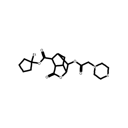 CCC1(OC(=O)C2C3CC4C(OC(=O)C42)C3OC(=O)CN2CCSCC2)CCCC1